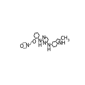 Cc1cc2cc(Nc3ccnc(Nc4ccccc4OCCN4CCOCC4)n3)ccc2[nH]1